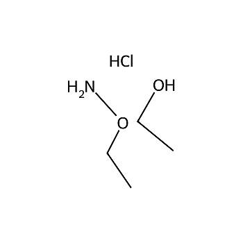 CCO.CCON.Cl